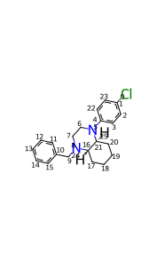 Clc1ccc(N2CCN(Cc3ccccc3)[C@H]3CCCC[C@@H]32)cc1